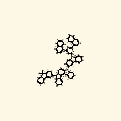 CC1(C)c2ccccc2-c2cc(-n3c4ccccc4c4c5c6ccccc6n(-c6ccc7c(c6)c6ccccc6n7-c6nc(-c7cccc8ccccc78)nc(-c7cccc8ccccc78)n6)c5ccc43)ccc21